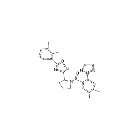 Cc1cc(C(=O)N2CCCC2c2noc(-c3cccc(C)c3C)n2)c(-n2nccn2)cc1C